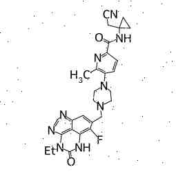 CCN1C(=O)Nc2c(F)c(CN3CCN(c4ccc(C(=O)NC5(CC#N)CC5)nc4C)CC3)cc3ncnc1c23